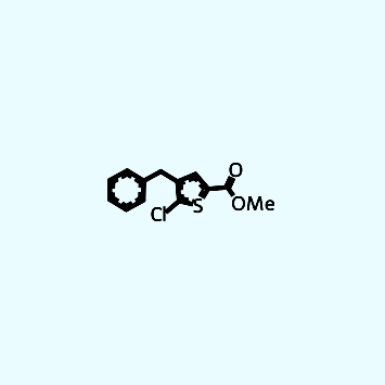 COC(=O)c1cc(Cc2ccccc2)c(Cl)s1